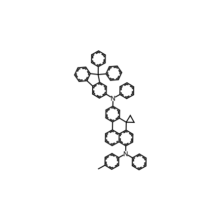 Cc1ccc(N(c2ccccc2)c2ccc3c4c(cccc24)-c2ccc(N(c4ccccc4)c4ccc5c(c4)C(c4ccccc4)(c4ccccc4)c4ccccc4-5)cc2C32CC2)cc1